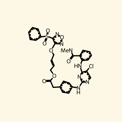 CNC(=O)c1ccccc1Nc1nc(Nc2ccc(CC(=O)OCC=CCOc3nonc3S(=O)(=O)c3ccccc3)cc2)ncc1Cl